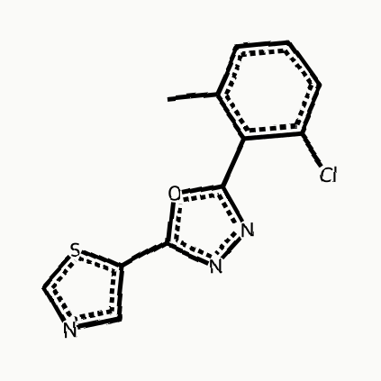 Cc1cccc(Cl)c1-c1nnc(-c2cncs2)o1